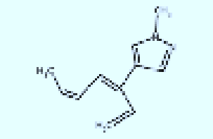 C=C/C(=C\C=C/C)c1cnn(C)c1